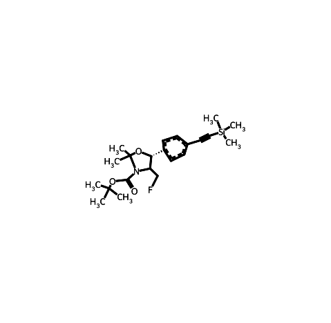 CC(C)(C)OC(=O)N1C(CF)[C@@H](c2ccc(C#C[Si](C)(C)C)cc2)OC1(C)C